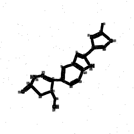 Cc1nc(-c2cc3cc(C4=NNC(=O)CC4CO)ccc3[nH]2)co1